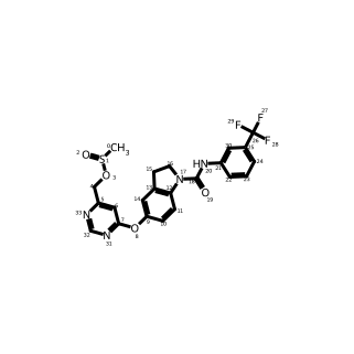 CS(=O)OCc1cc(Oc2ccc3c(c2)CCN3C(=O)Nc2cccc(C(F)(F)F)c2)ncn1